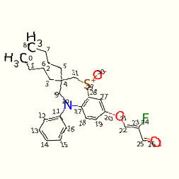 CCCCC1(CCCC)CN(c2ccccc2)c2ccc(O/C=C(\F)C=O)cc2[S+]([O-])C1